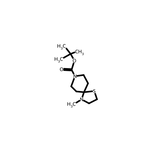 CN1CCSC12CCN(C(=O)OC(C)(C)C)CC2